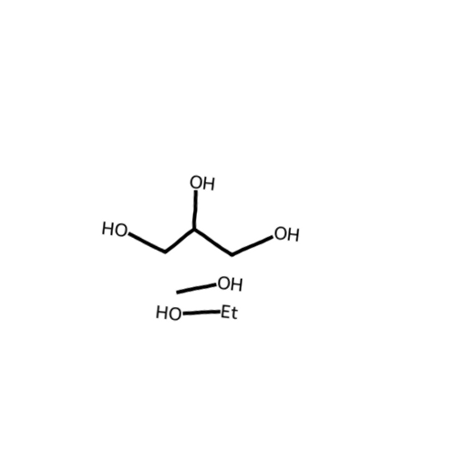 CCO.CO.OCC(O)CO